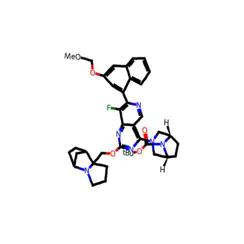 COCOc1cc(-c2ncc3c(N4C[C@H]5CC[C@@H](C4)N5C(=O)OC(C)(C)C)nc(OCC45CCCN4C4CCC5C4)nc3c2F)c2ccccc2c1